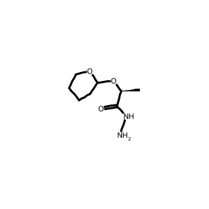 C[C@H](OC1CCCCO1)C(=O)NN